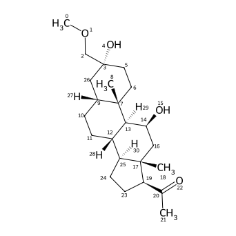 COC[C@@]1(O)CC[C@@]2(C)[C@H](CC[C@@H]3[C@@H]2[C@@H](O)C[C@]2(C)[C@@H](C(C)=O)CC[C@@H]32)C1